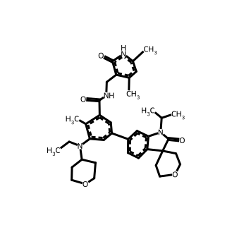 CCN(c1cc(-c2ccc3c(c2)N(C(C)C)C(=O)C32CCOCC2)cc(C(=O)NCc2c(C)cc(C)[nH]c2=O)c1C)C1CCOCC1